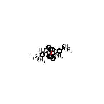 CN(C)c1ccc(C(P)(c2ccccc2)c2ccc3ccccc3c2-c2c(C(P)(c3ccccc3)c3ccc(N(C)C)cc3)ccc3ccccc23)cc1